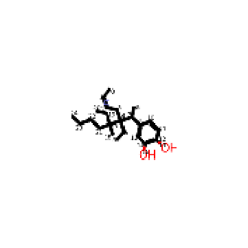 C/C=C\CC(CC)(C(C)c1ccc(O)c(O)c1)C(C)(CC)CCCC